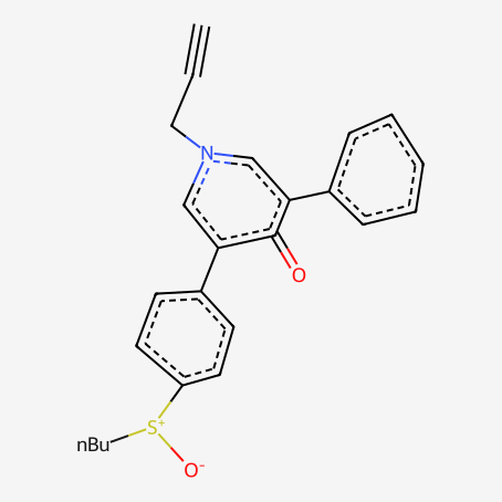 C#CCn1cc(-c2ccccc2)c(=O)c(-c2ccc([S+]([O-])CCCC)cc2)c1